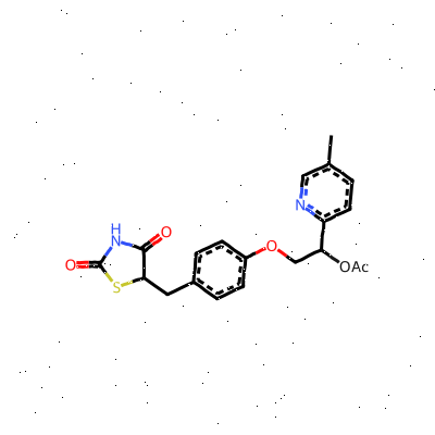 CC(=O)OC(COc1ccc(CC2SC(=O)NC2=O)cc1)c1ccc(C)cn1